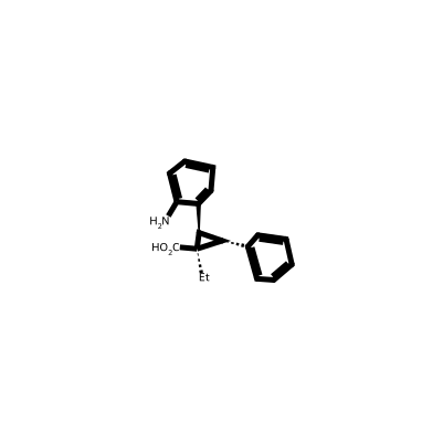 CC[C@@]1(C(=O)O)[C@@H](c2ccccc2)[C@@H]1c1ccccc1N